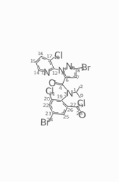 CC(C)N(C(=O)c1cc(Br)nn1-c1ncccc1Cl)c1c(Cl)cc(Br)cc1C(=O)Cl